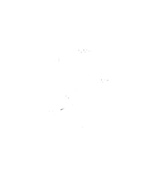 CNc1cc(OC)c(C(=O)N[C@@H](CCC(=O)O)C(=O)O)cc1Cl